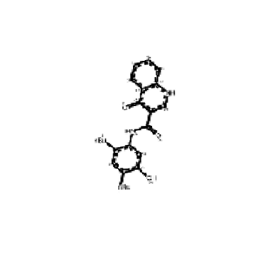 CCCCc1cc(CCCC)c(NC(=O)c2c[nH]c3ccccc3c2=O)cc1O